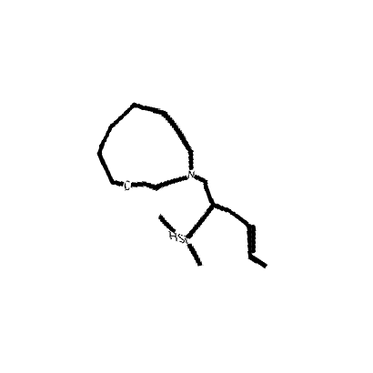 C/C=C/C(CN1CCCCCCCC1)[SiH](C)C